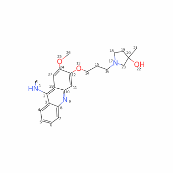 CNc1c2ccccc2nc2cc(OCCCN3CCC(C)(O)C3)c(OC)cc12